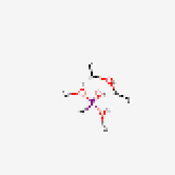 CCOCC.COP(C)(=O)OC